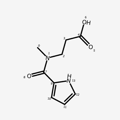 CN(CCC(=O)O)C(=O)c1ccc[nH]1